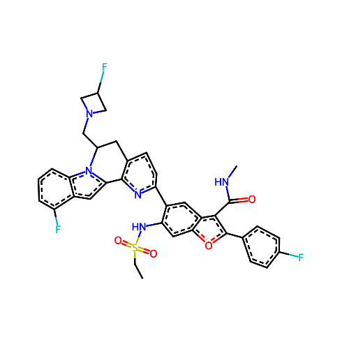 CCS(=O)(=O)Nc1cc2oc(-c3ccc(F)cc3)c(C(=O)NC)c2cc1-c1ccc2c(n1)-c1cc3c(F)cccc3n1C(CN1CC(F)C1)C2